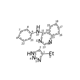 CCc1c[nH]nn1.c1ccc(Nc2ncnc3ccccc23)cc1